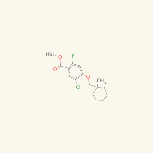 CC1(COc2cc(F)c(C(=O)OC(C)(C)C)cc2Cl)CCCCC1